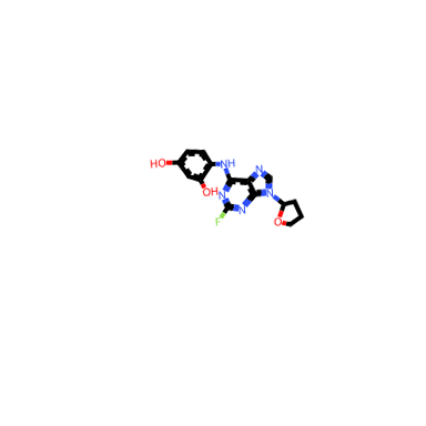 Oc1ccc(Nc2nc(F)nc3c2ncn3C2CCCO2)c(O)c1